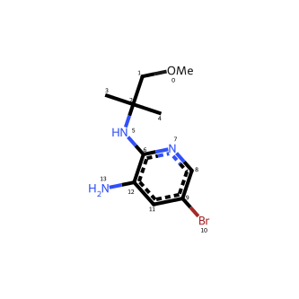 COCC(C)(C)Nc1ncc(Br)cc1N